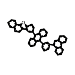 c1cc(-c2c3ccccc3c(-c3ccc4oc5c6ccccc6ccc5c4c3)c3ccccc23)cc(-c2cc3ccccc3c3ccccc23)c1